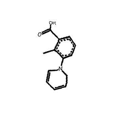 Cc1c(C(=O)O)cccc1N1C=CC=CC1